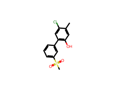 Cc1cc(O)c(-c2cccc(S(C)(=O)=O)c2)cc1Cl